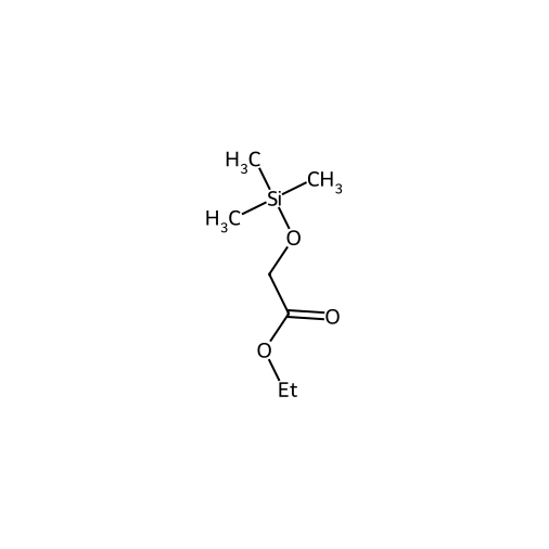 CCOC(=O)CO[Si](C)(C)C